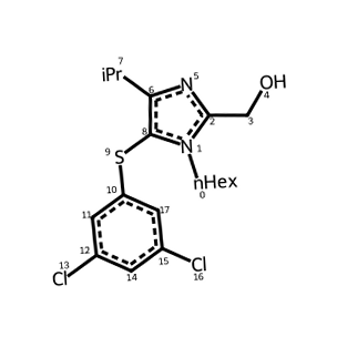 CCCCCCn1c(CO)nc(C(C)C)c1Sc1cc(Cl)cc(Cl)c1